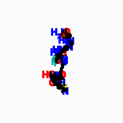 Cc1ncsc1-c1ccc(CNC(=O)[C@@H]2C[C@@H](O)CN2C(=O)[C@@H](NC(=O)CCCCCCn2cc(-c3cc(NC(=O)Nc4ccc(N(C)c5ccnc(Nc6cccc(S(N)(=O)=O)c6)n5)cc4)ccc3OC(F)(F)F)nn2)C(C)(C)C)cc1